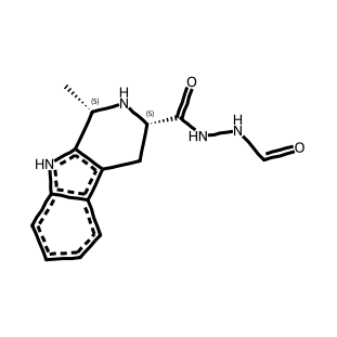 C[C@@H]1N[C@H](C(=O)NNC=O)Cc2c1[nH]c1ccccc21